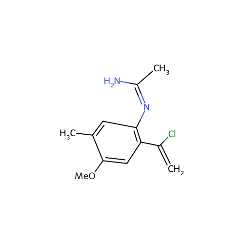 C=C(Cl)c1cc(OC)c(C)cc1/N=C(/C)N